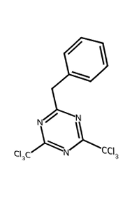 ClC(Cl)(Cl)c1nc(Cc2ccccc2)nc(C(Cl)(Cl)Cl)n1